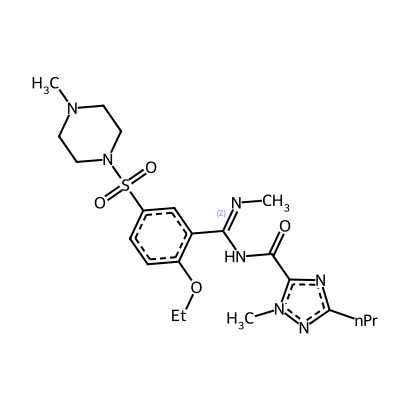 CCCc1nc(C(=O)N/C(=N\C)c2cc(S(=O)(=O)N3CCN(C)CC3)ccc2OCC)n(C)n1